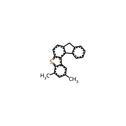 Cc1cc(C)c2sc3ccc4c(c3c2c1)-c1ccccc1C4